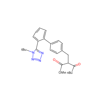 CCCCC(=O)C(Cc1ccc(-c2ccccc2-c2nnnn2C(C)(C)C)cc1)C(=O)OC